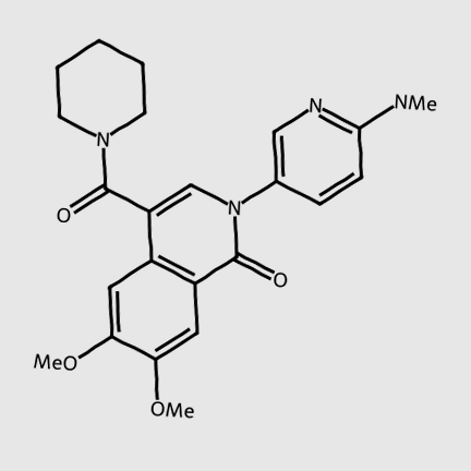 CNc1ccc(-n2cc(C(=O)N3CCCCC3)c3cc(OC)c(OC)cc3c2=O)cn1